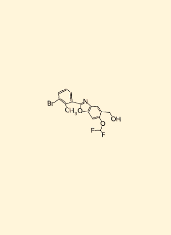 Cc1c(Br)cccc1-c1nc2cc(CO)c(OC(F)F)cc2o1